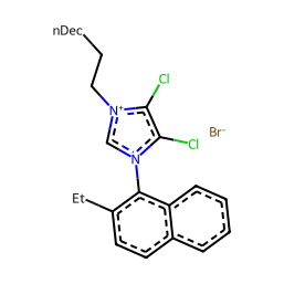 CCCCCCCCCCCC[n+]1cn(-c2c(CC)ccc3ccccc23)c(Cl)c1Cl.[Br-]